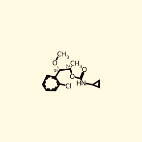 CO[C@@H](c1ccccc1Cl)[C@H](C)OC(=O)NC1CC1